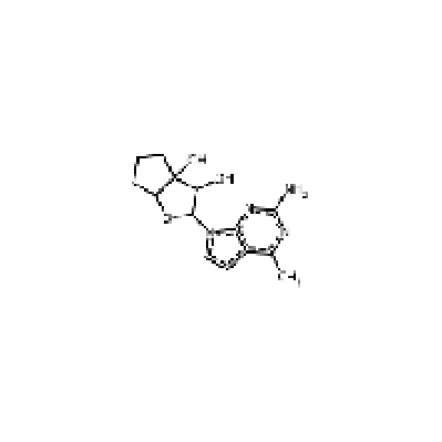 Cc1nc(N)nc2c1ccn2C1OC2CCCC2(O)C1O